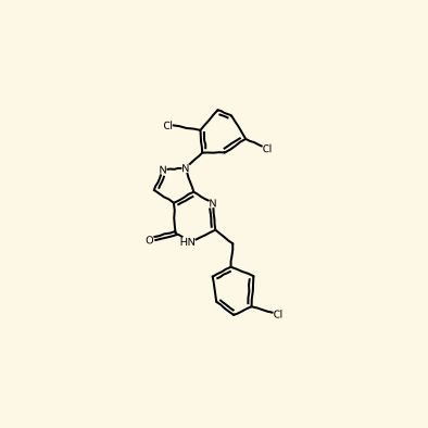 O=c1[nH]c(Cc2cccc(Cl)c2)nc2c1cnn2-c1cc(Cl)ccc1Cl